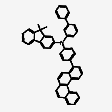 CC1(C)c2ccccc2-c2ccc(N(c3ccc(-c4cccc5c4ccc4ccc6ccccc6c45)cc3)c3cccc(-c4ccccc4)c3)cc21